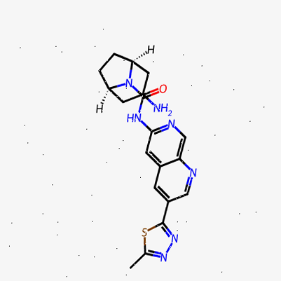 Cc1nnc(-c2cnc3cnc(NC(=O)N4[C@@H]5CC[C@H]4CC(N)C5)cc3c2)s1